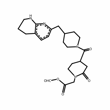 O=COC(=O)CN1CCC(C(=O)N2CCC(Cc3ccc4c(n3)NCCC4)CC2)CC1=O